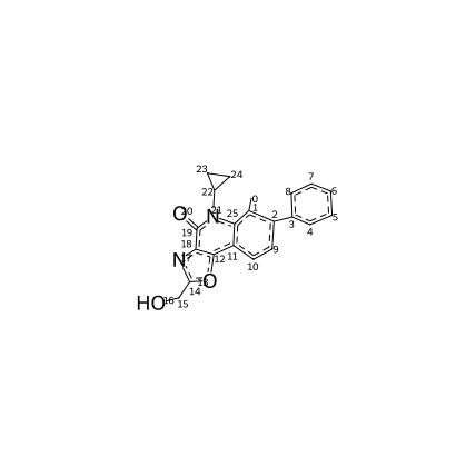 Cc1c(-c2ccccc2)ccc2c3oc(CO)nc3c(=O)n(C3CC3)c12